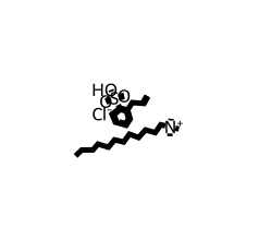 C=CCc1ccccc1S(=O)(=O)O.CCCCCCCCCCCC[N+](C)(C)C.[Cl-]